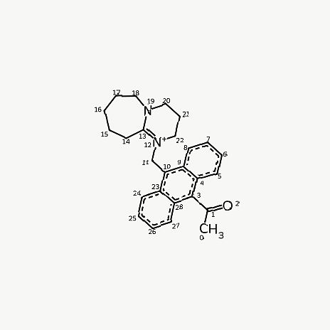 CC(=O)c1c2ccccc2c(C[N+]2=C3CCCCCN3CCC2)c2ccccc12